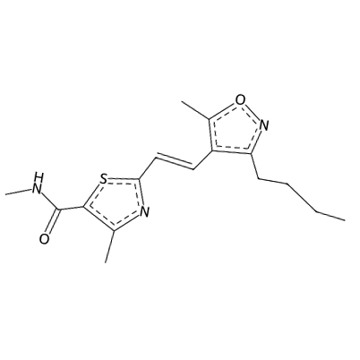 CCCCc1noc(C)c1C=Cc1nc(C)c(C(=O)NC)s1